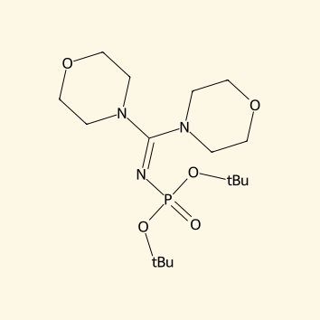 CC(C)(C)OP(=O)(N=C(N1CCOCC1)N1CCOCC1)OC(C)(C)C